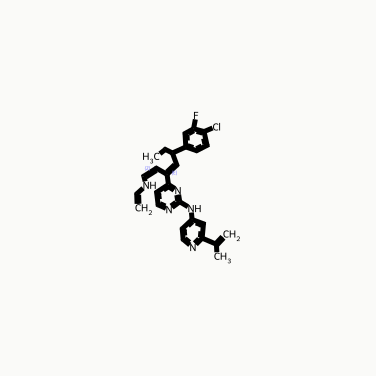 C=CN/C=C\C(=C/C(CC)c1ccc(Cl)c(F)c1)c1ccnc(Nc2ccnc(C(=C)C)c2)n1